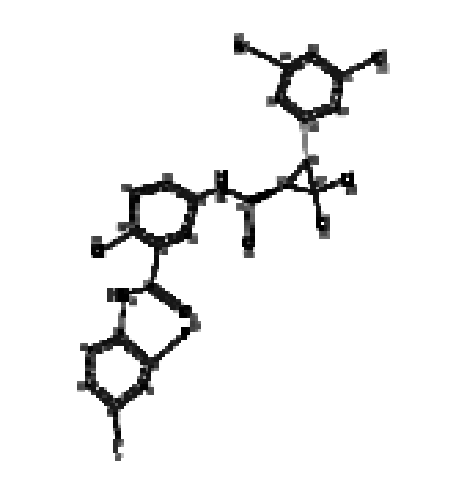 O=C(Nc1ccc(F)cc1F)c1cc(NC(=O)[C@H]2[C@H](c3cc(Cl)cc(Br)c3)C2(Cl)Cl)ccc1Cl